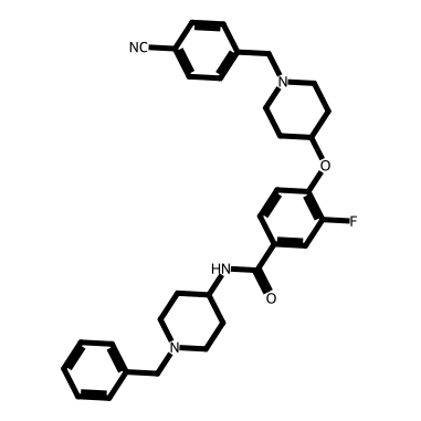 N#Cc1ccc(CN2CCC(Oc3ccc(C(=O)NC4CCN(Cc5ccccc5)CC4)cc3F)CC2)cc1